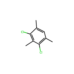 Cc1cc(C)c(Cl)c(C)c1Cl